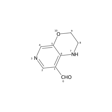 O=Cc1cncc2c1NCCO2